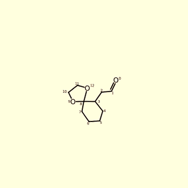 O=CCC1CCCCC12OCCO2